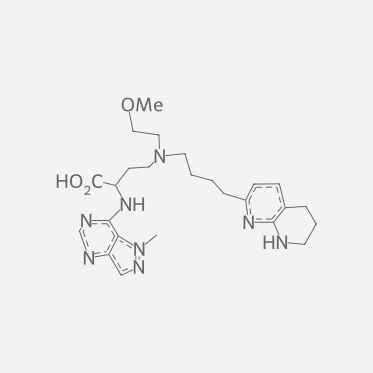 COCCN(CCCCc1ccc2c(n1)NCCC2)CCC(Nc1ncnc2cnn(C)c12)C(=O)O